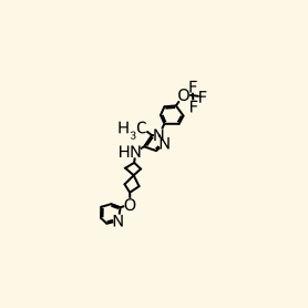 Cc1c(NC2CC3(C2)CC(Oc2ccccn2)C3)cnn1-c1ccc(OC(F)(F)F)cc1